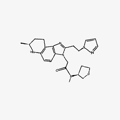 C[C@H]1CCc2c(ccc3c2nc(CCn2cccn2)n3CC(=O)N(C)[C@H]2CCOC2)N1